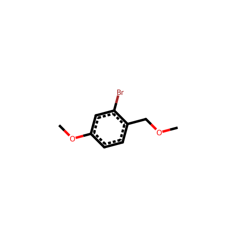 COCc1ccc(OC)cc1Br